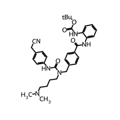 CN(C)CCCCN(Cc1ccc(C(=O)Nc2ccccc2NC(=O)OC(C)(C)C)cc1)C(=O)Nc1ccc(CC#N)cc1